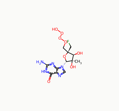 C[C@@]1(O)[C@H](O)[C@@](CF)(COOOO)O[C@H]1n1cnc2c(=O)[nH]c(N)nc21